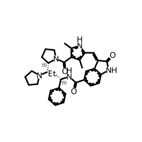 CC[C@H](NC(=O)c1ccc2c(c1)C(=Cc1[nH]c(C)c(C(=O)N3CCC[C@H]3CN3CCCC3)c1C)C(=O)N2)c1ccccc1